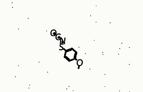 COc1ccc(SN=C=O)cc1